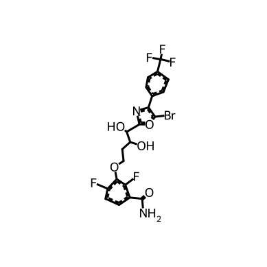 NC(=O)c1ccc(F)c(OCCC(O)C(O)c2nc(-c3ccc(C(F)(F)F)cc3)c(Br)o2)c1F